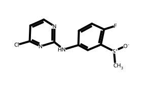 C[S+]([O-])c1cc(Nc2nccc(Cl)n2)ccc1F